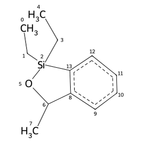 CC[Si]1(CC)OC(C)c2ccccc21